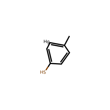 Cc1ccc(S)cc1.[Hg]